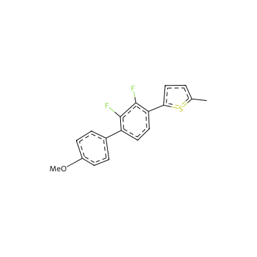 COc1ccc(-c2ccc(-c3ccc(C)s3)c(F)c2F)cc1